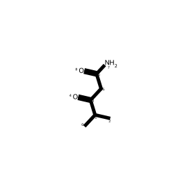 CC(C)C(=O)CC(N)=O